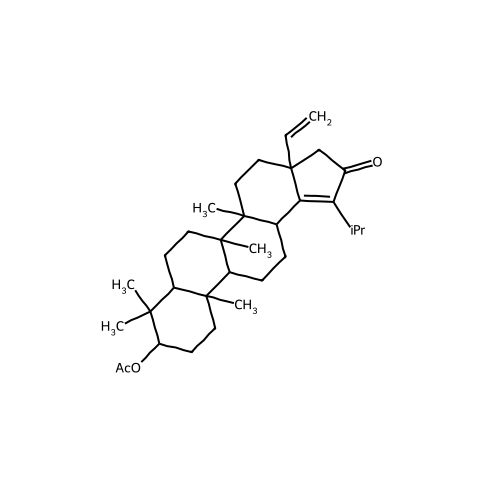 C=CC12CCC3(C)C(CCC4C5(C)CCC(OC(C)=O)C(C)(C)C5CCC43C)C1=C(C(C)C)C(=O)C2